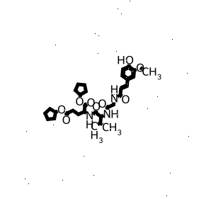 COc1cc(/C=C/C(=O)NCC(=O)NC(C(=O)NC(CCC(=O)OC2CCCC2)C(=O)OC2CCCC2)C(C)C)ccc1O